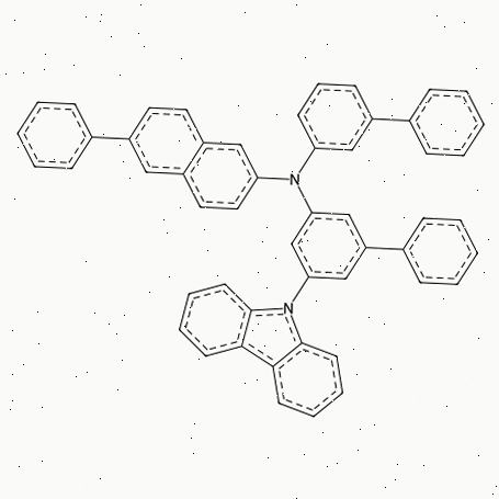 c1ccc(-c2cccc(N(c3cc(-c4ccccc4)cc(-n4c5ccccc5c5ccccc54)c3)c3ccc4cc(-c5ccccc5)ccc4c3)c2)cc1